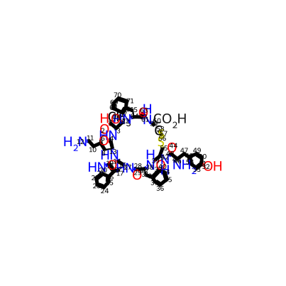 C[C@@H](O)[C@@H]1NC(=O)[C@H](CCCCN)NC(=O)[C@@H](Cc2c[nH]c3ccccc23)NC(=O)[C@H](Cc2ccccc2)NC(=O)[C@@H](NC(=O)[C@@H](N)Cc2ccc(O)cc2)CSSC[C@@H](C(=O)O)NC(=O)[C@H](Cc2ccccc2)NC1=O